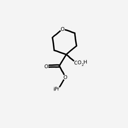 CC(C)OC(=O)C1(C(=O)O)CCOCC1